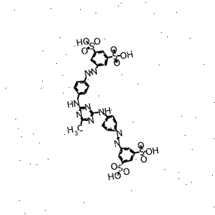 Cc1nc(Nc2ccc(N=Nc3cc(S(=O)(=O)O)cc(S(=O)(=O)O)c3)cc2)nc(Nc2ccc(N=Nc3cc(S(=O)(=O)O)cc(S(=O)(=O)O)c3)cc2)n1